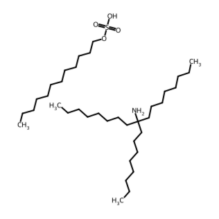 CCCCCCCCC(N)(CCCCCCCC)CCCCCCCC.CCCCCCCCCCCCOS(=O)(=O)O